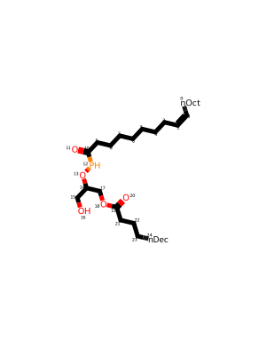 CCCCCCCC/C=C\CCCCCCCC(=O)POC(CO)COC(=O)CCCCCCCCCCCCC